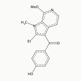 CCc1c(C(=O)c2ccc(O)cc2)c2ccnc(OC)c2n1C